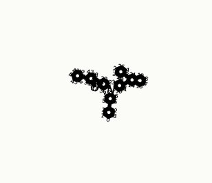 c1ccc(-c2ccc(N(c3ccc(-c4cc5ccccc5cc4-c4ccccc4)cc3)c3ccc4c(c3)oc3cc(-c5ccccc5)ccc34)cc2)cc1